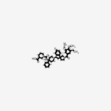 COc1cc(C(=O)N2CCC(CCN3CCC(NC(=O)N4CCCC(C(=O)O)C4)(c4ccccc4)CC3)(c3ccc(F)cc3)C2)cc(OC)c1OC